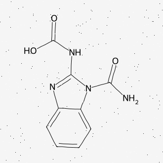 NC(=O)n1c(NC(=O)O)nc2ccccc21